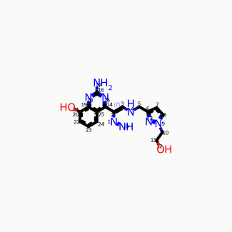 N=N/C(=C\NCc1ccn(CCO)n1)c1nc(N)nc2c(O)cccc12